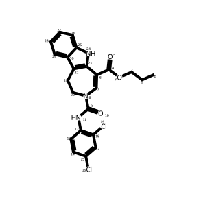 CCCOC(=O)C1=CN(C(=O)Nc2ccc(Cl)cc2Cl)CCc2c1[nH]c1ccccc21